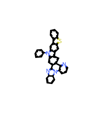 C1=CC2N=C3c4cc5c(cc4-c4ncccc4N3C2C=C1)c1cc2sc3ccccc3c2cc1n5-c1ccccc1